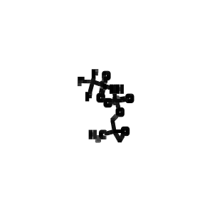 CC1(COS(=O)(=O)NS(=O)(=O)C(F)(F)F)CO1